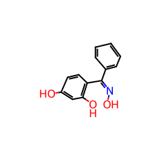 ON=C(c1ccccc1)c1ccc(O)cc1O